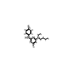 CCCCN(CC)c1cc(C)nc(Nc2ccc(F)cc2)n1